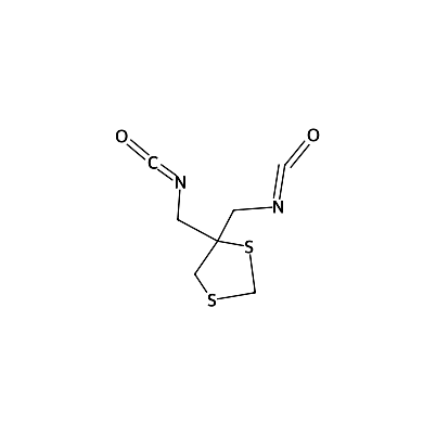 O=C=NCC1(CN=C=O)CSCS1